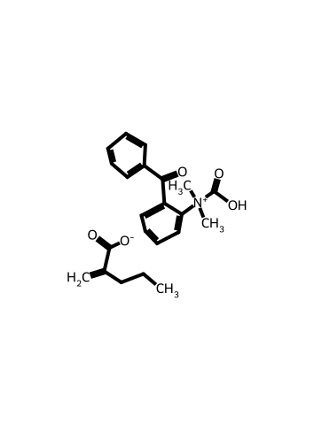 C=C(CCC)C(=O)[O-].C[N+](C)(C(=O)O)c1ccccc1C(=O)c1ccccc1